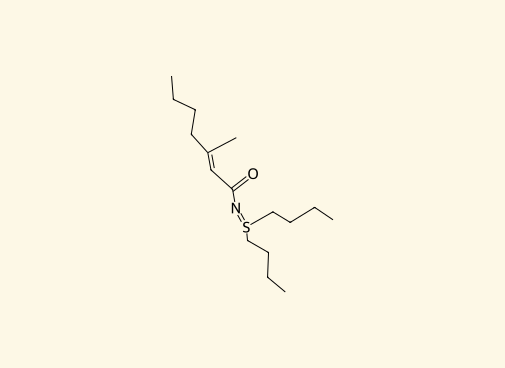 CCCC/C(C)=C/C(=O)N=S(CCCC)CCCC